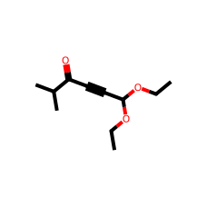 CCOC(C#CC(=O)C(C)C)OCC